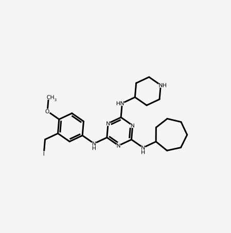 COc1ccc(Nc2nc(NC3CCCCCC3)nc(NC3CCNCC3)n2)cc1CI